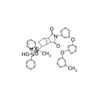 Cc1cccc(Oc2cccc(Oc3cccc(N4C(=O)C5C6CC(C5C4=O)C([Si](C)(C)O[Si](O)(c4ccccc4)c4ccccc4)C6)c3)c2)c1